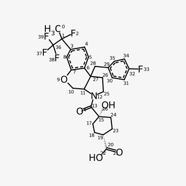 CC(F)(c1ccc2c(c1)OCC1N(C(=O)[C@]3(O)CC[C@@H](C(=O)O)CC3)CCC21Cc1ccc(F)cc1)C(F)(F)F